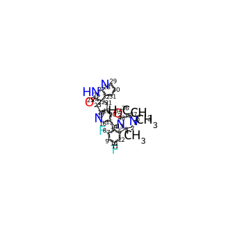 CN1C[C@@](C)(c2cc(F)cc(F)c2)N(Cc2cnc3c(c2)C[C@@]2(C3)C(=O)Nc3ncccc32)C(=O)C1(C)C